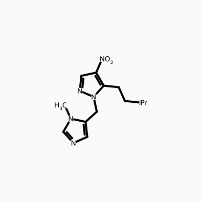 CC(C)CCc1c([N+](=O)[O-])cnn1Cc1cncn1C